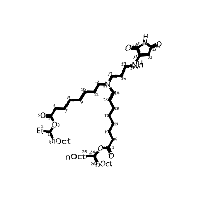 CCCCCCCCC(CC)OC(=O)CCCCCCCN(CCCCCCCC(=O)OC(CCCCCCCC)CCCCCCCC)CCCNC1=CC(=O)NC1=O